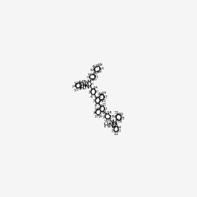 C1=C(c2ccc(-c3ccc(-c4ccc(-c5ccc(C6Nc7ccccc7N6c6ccccc6)cc5)c5ccccc45)c4ccccc34)cc2)NC(c2ccccc2)NC1c1ccc(-c2ccccc2)cc1